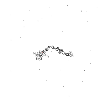 CCC(=O)NC(=O)C(C)N(C=O)C(=O)c1ccc(N2CC3CN(CC4CCN(c5ccc(NC(=O)C6CCN(c7ccc(C#N)c(C(F)(F)F)c7)CC6)nc5)CC4)CC3C2)cc1C